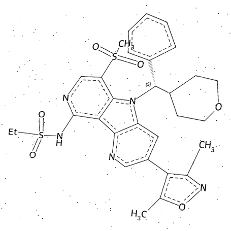 CCS(=O)(=O)Nc1ncc(S(C)(=O)=O)c2c1c1ncc(-c3c(C)noc3C)cc1n2[C@H](c1ccccc1)C1CCOCC1